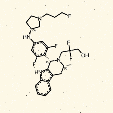 C[C@@H]1Cc2c([nH]c3ccccc23)[C@H](c2c(F)cc(N[C@H]3CCN(CCCF)C3)cc2F)N1CC(F)(F)CO